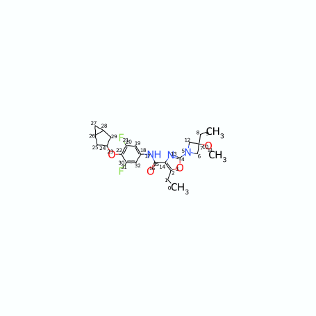 CCc1oc(N2CC(CC)(OC)C2)nc1C(=O)Nc1cc(F)c(OC2CC3CC3C2)c(F)c1